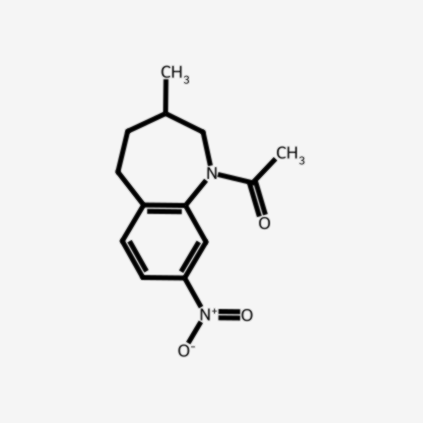 CC(=O)N1CC(C)CCc2ccc([N+](=O)[O-])cc21